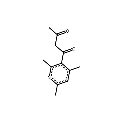 CC(=O)CC(=O)c1c(C)cc(C)nc1C